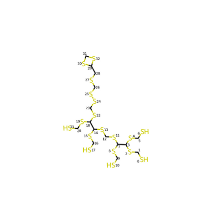 SCSC(SCS)C(SCS)SCSC(SCS)C(SCS)SCSSCSCC1SCS1